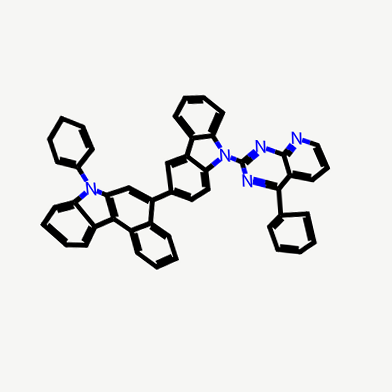 C1=CC(n2c3ccccc3c3c4ccccc4c(-c4ccc5c(c4)c4ccccc4n5-c4nc(-c5ccccc5)c5cccnc5n4)cc32)=CCC1